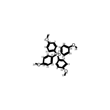 COc1cc[c]([Pb]([c]2ccc(OC)cc2)([c]2ccc(OC)cc2)[c]2ccc(OC)cc2)cc1